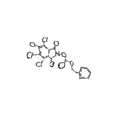 O=C(OCc1ccccc1)ON1C(=O)c2c(Cl)c(Cl)c(Cl)c(Cl)c2C1=O